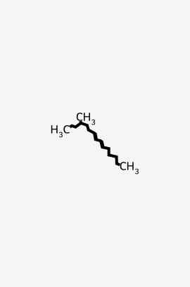 CCCCCC=CC=CCCC(C)CCC